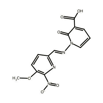 COc1ccc(C=Nn2cccc(C(=O)O)c2=O)nc1[N+](=O)[O-]